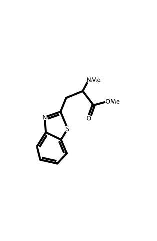 CNC(Cc1nc2ccccc2s1)C(=O)OC